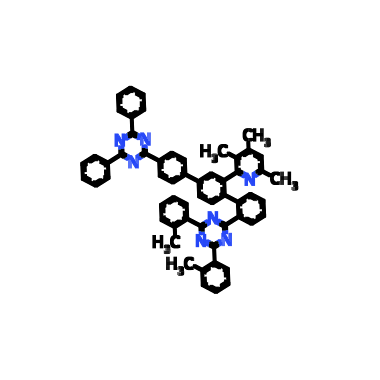 Cc1cc(C)c(C)c(-c2cc(-c3ccc(-c4nc(-c5ccccc5)nc(-c5ccccc5)n4)cc3)ccc2-c2ccccc2-c2nc(-c3ccccc3C)nc(-c3ccccc3C)n2)n1